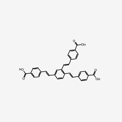 O=C(O)c1ccc(/C=C/c2ccc(/C=C/c3ccc(C(=O)O)cc3)c(/C=C/c3ccc(C(=O)O)cc3)c2)cc1